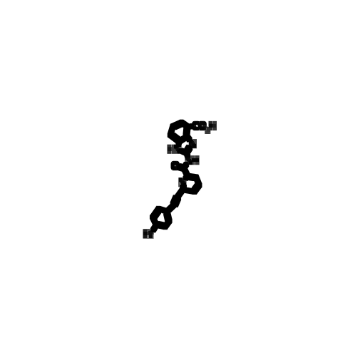 CCc1ccc(C#Cc2cccc(C(=O)Nc3nc4c(C(=O)O)cccc4[nH]3)n2)cc1